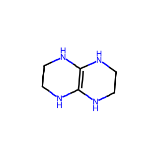 C1CNC2=C(N1)NCCN2